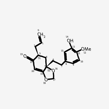 C=CC[C@H]1C[C@]2(CCc3ccc(OC)c(O)c3)OCOC2=CC1=O